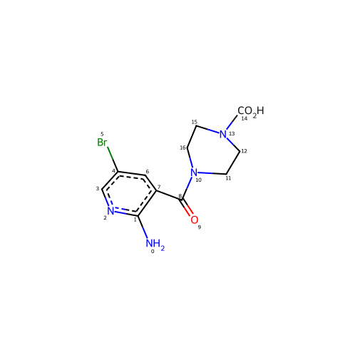 Nc1ncc(Br)cc1C(=O)N1CCN(C(=O)O)CC1